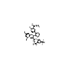 NC(=O)c1cc(-c2cccnc2[C@H](Cc2cc(F)cc(F)c2)NC(=O)Cn2nc(C(F)(F)F)cc2C(F)(F)F)ccc1F